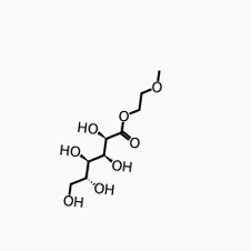 COCCOC(=O)[C@H](O)[C@@H](O)[C@H](O)[C@H](O)CO